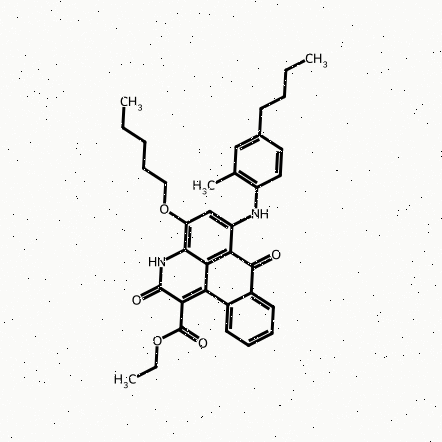 CCCCCOc1cc(Nc2ccc(CCCC)cc2C)c2c3c(c(C(=O)OCC)c(=O)[nH]c13)-c1ccccc1C2=O